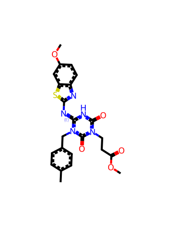 COC(=O)CCn1c(=O)[nH]/c(=N\c2nc3ccc(OC)cc3s2)n(Cc2ccc(C)cc2)c1=O